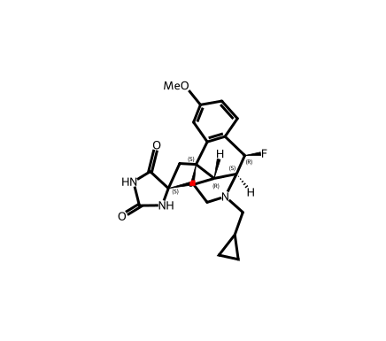 COc1ccc2c(c1)[C@]13CCN(CC4CC4)[C@H]([C@@H]2F)[C@@H]1CC[C@@]1(C3)NC(=O)NC1=O